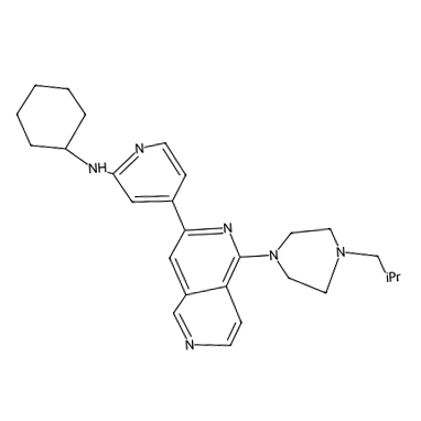 CC(C)CN1CCN(c2nc(-c3ccnc(NC4CCCCC4)c3)cc3cnccc23)CC1